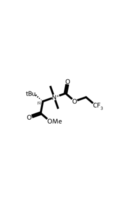 COC(=O)[C@H](C(C)(C)C)[N+](C)(C)C(=O)OCC(F)(F)F